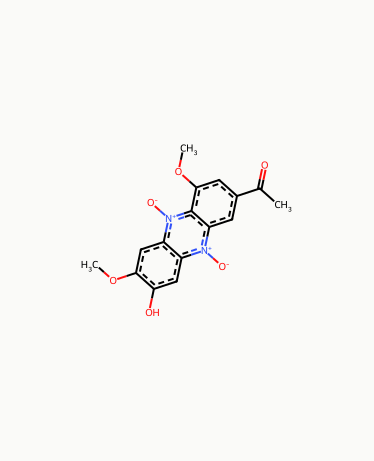 COc1cc2c(cc1O)[n+]([O-])c1cc(C(C)=O)cc(OC)c1[n+]2[O-]